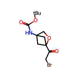 CC(C)(C)OC(=O)NC12COC(C(=O)CBr)(C1)C2